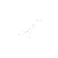 NCc1cc(-c2ccc([C@H](O)[C@@H](CF)NC(=O)C(Cl)Cl)cc2)cs1